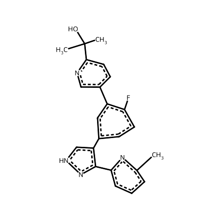 Cc1cccc(-c2n[nH]cc2-c2ccc(F)c(-c3ccc(C(C)(C)O)nc3)c2)n1